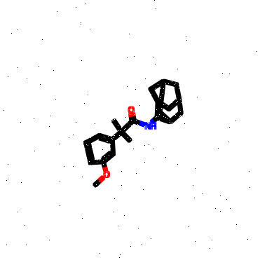 COc1cccc(C(C)(C)C(=O)NC2C3CC4CC(C3)CC2C4)c1